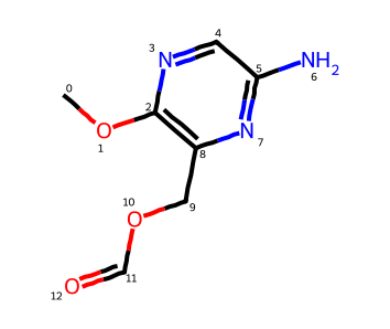 COc1ncc(N)nc1COC=O